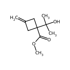 C=C1CC(C(=O)OC)(C(C)(C)O)C1